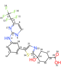 Cc1cc(Nc2nccc(C(F)(F)C(F)(F)F)n2)cc(-c2cnc(C3(O)CCC(C(=O)O)CC3)s2)c1